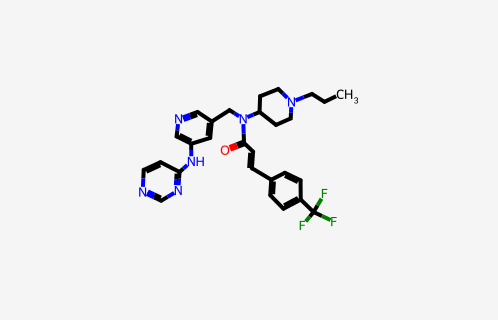 CCCN1CCC(N(Cc2cncc(Nc3ccncn3)c2)C(=O)/C=C/c2ccc(C(F)(F)F)cc2)CC1